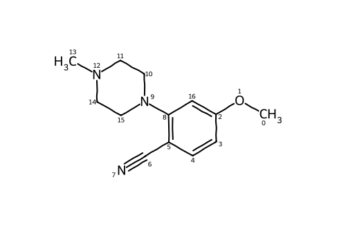 COc1ccc(C#N)c(N2CCN(C)CC2)c1